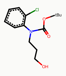 CC(C)(C)OC(=O)N(CCCO)c1ccccc1Cl